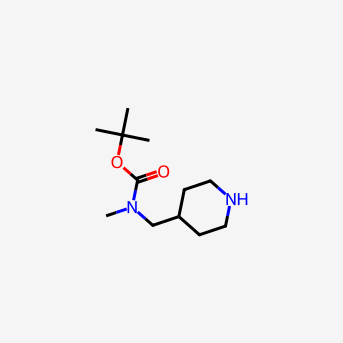 CN(CC1CCNCC1)C(=O)OC(C)(C)C